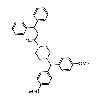 COc1ccc(C(c2ccc(OC)cc2)N2CCN(C(=O)CC(c3ccccc3)c3ccccc3)CC2)cc1